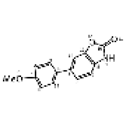 COc1ccc(-c2ccc3[nH]c(=O)oc3c2)cc1